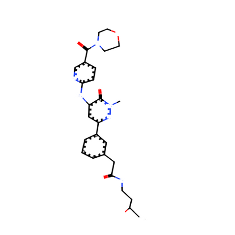 Cn1nc(-c2cccc(CC(=O)NCCC(O)C(C)(C)C)c2)cc(Nc2ccc(C(=O)N3CCOCC3)cn2)c1=O